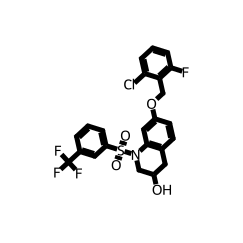 O=S(=O)(c1cccc(C(F)(F)F)c1)N1CC(O)Cc2ccc(OCc3c(F)cccc3Cl)cc21